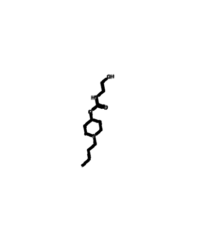 CCCCN1CCC(OC(=O)NCCO)CC1